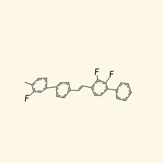 Cc1ccc(-c2ccc(/C=C/c3ccc(-c4ccccc4)c(F)c3F)cc2)cc1F